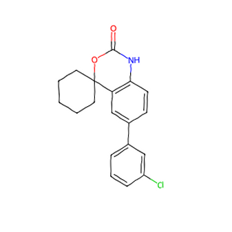 O=C1Nc2ccc(-c3cccc(Cl)c3)cc2C2(CCCCC2)O1